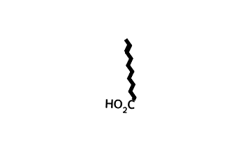 C/C=C/CCCCCCCC(=O)O